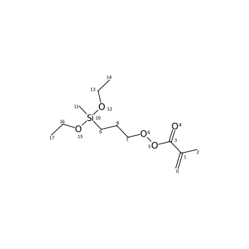 C=C(C)C(=O)OOCCC[Si](C)(OCC)OCC